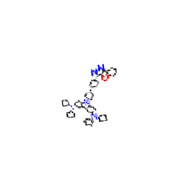 c1ccc(N(c2ccccc2)c2ccc3c(c2)c2cc(N(c4ccccc4)c4ccccc4)ccc2n3-c2ccc(-c3ccc(-c4ncnc5c4oc4ccccc45)cc3)cc2)cc1